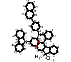 CC1(C)c2ccccc2-c2c(-c3ccccc3N(c3ccc(-c4ccc5ccccc5c4)cc3)c3cccc(-n4c5ccccc5c5ccccc54)c3)cccc21